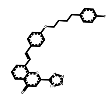 O=c1cc(-c2nnn[nH]2)oc2c(/C=C/c3ccc(OCCCCc4ccc(F)cc4)cc3)cccc12